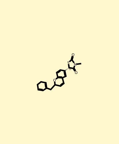 CN1C(=O)S[C@@H](c2ccc3c(c2)C=CC(CC2=CCCC=C2)O3)C1=O